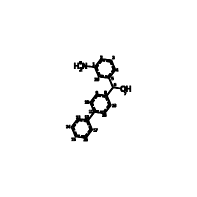 Nc1cccc(C(O)c2ccc(-c3ccccc3)cc2)c1